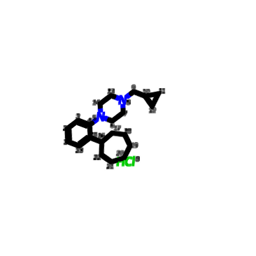 Cl.c1ccc(N2CCN(CC3CC3)CC2)c(C2CCCCCC2)c1